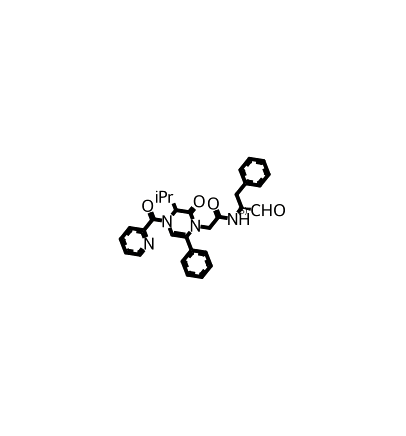 CC(C)C1C(=O)N(CC(=O)N[C@H](C=O)Cc2ccccc2)C(c2ccccc2)=CN1C(=O)c1ccccn1